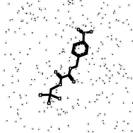 O=C(OCc1ccc([N+](=O)[O-])cc1)C(=O)OCC(Cl)(Cl)Cl